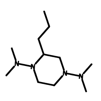 CCCC1CN(N(C)C)CCN1N(C)C